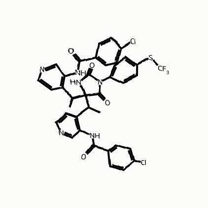 CC(c1ccncc1NC(=O)c1ccc(Cl)cc1)C1(C(C)c2ccncc2NC(=O)c2ccc(Cl)cc2)NC(=O)N(c2ccc(SC(F)(F)F)cc2)C1=O